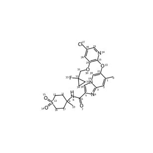 Cc1cc2nc(C(=O)NC3(C)CCS(=O)(=O)CC3)cn2cc1Oc1ncc(Cl)cc1OCC1(F)CC1